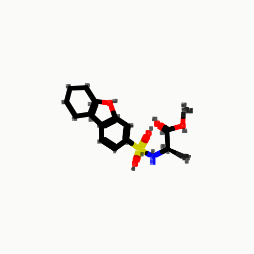 CC(C)[C@@H](NS(=O)(=O)c1ccc2c3c(oc2c1)CCCC3)C(=O)OC(C)(C)C